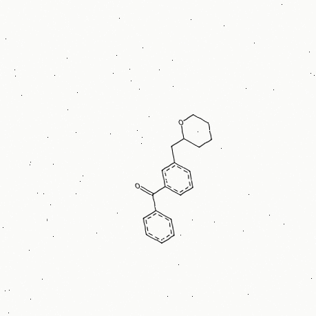 O=C(c1ccccc1)c1cccc(CC2CCCCO2)c1